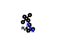 Cc1cccc2c3ncccc3n(-c3ccc(-c4ccc5c(-c6ccccc6)c6ccccc6c(-c6ccccc6)c5c4)nc3)c12